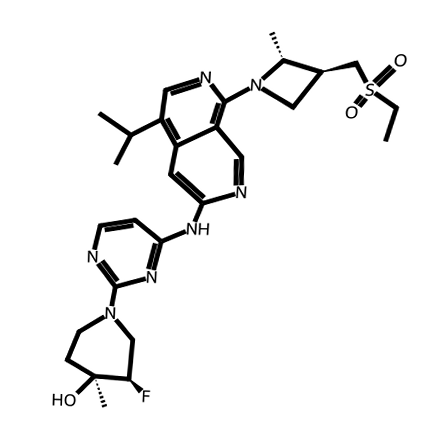 CCS(=O)(=O)C[C@H]1CN(c2ncc(C(C)C)c3cc(Nc4ccnc(N5CC[C@](C)(O)[C@H](F)C5)n4)ncc23)[C@@H]1C